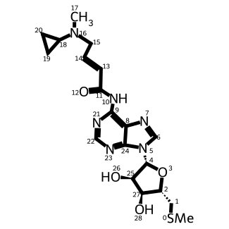 CSC[C@H]1O[C@@H](n2cnc3c(NC(=O)/C=C/CN(C)C4CC4)ncnc32)[C@H](O)[C@@H]1O